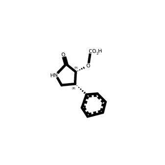 O=C(O)O[C@H]1C(=O)NC[C@H]1c1ccccc1